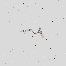 C=C[CH2][GeH]=[O]